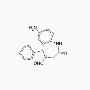 Nc1ccc2c(c1)C(c1ccccc1)N(C=O)CC(=O)N2